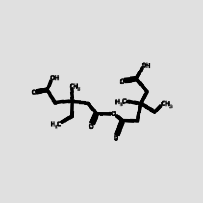 CCC(C)(CC(=O)O)CC(=O)OC(=O)CC(C)(CC)CC(=O)O